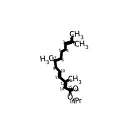 CC(C)=CCCCC(C)C/C=C/C(C)=C/C(=O)OC(C)C